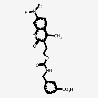 CCN(CC)c1ccc2c(C)c(CCOC(=O)NCc3cccc(C(=O)O)c3)c(=O)oc2c1